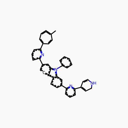 CC1=C=CC=C(c2cccc(-c3ccc4c5ccc(-c6cccc(C7=CCNC=C7)n6)cc5n(-c5ccccc5)c4c3)n2)C=C1